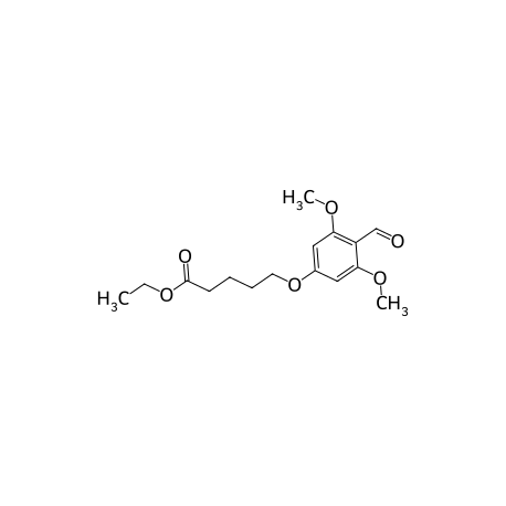 CCOC(=O)CCCCOc1cc(OC)c(C=O)c(OC)c1